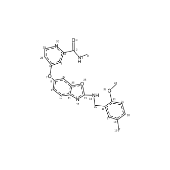 CNC(=O)c1cc(Oc2ccc3nc(NCc4cc(F)ccc4OC)oc3c2)ccn1